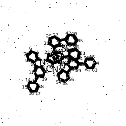 N#Cc1c(-n2c3ccccc3c3cc(-c4ccccc4)ccc32)cc(-c2cccc3c2[Si]2(c4ccccc4-c4ccccc42)c2ccccc2-3)cc1-n1c2ccccc2c2cc(-c3ccccc3)ccc21